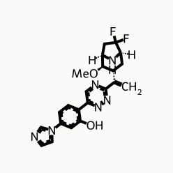 C=C(c1ncc(-c2ccc(-n3ccnc3)cc2O)nn1)[C@H]1C[C@H]2N[C@H](CC2(F)F)[C@@H]1OC